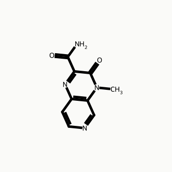 Cn1c(=O)c(C(N)=O)nc2ccncc21